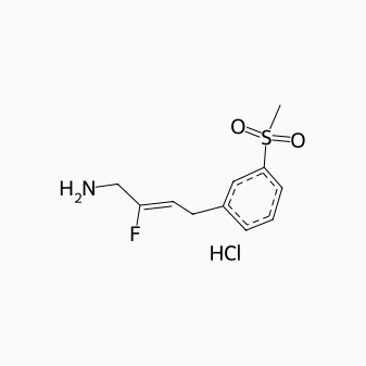 CS(=O)(=O)c1cccc(C/C=C(\F)CN)c1.Cl